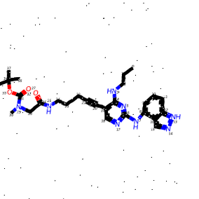 CCCNc1nc(Nc2cccc3[nH]ncc23)ncc1C#CCCCNC(=O)CN(C)C(=O)OC(C)(C)C